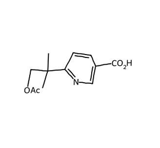 CC(=O)OCC(C)(C)c1ccc(C(=O)O)cn1